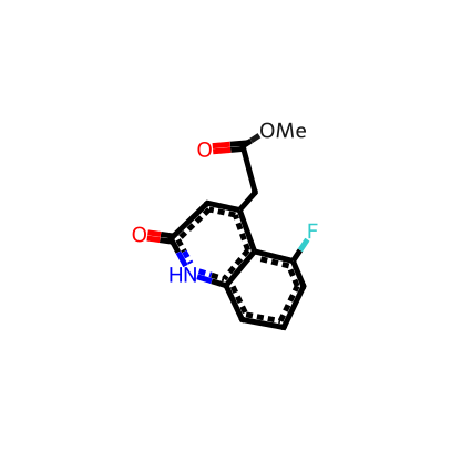 COC(=O)Cc1cc(=O)[nH]c2cccc(F)c12